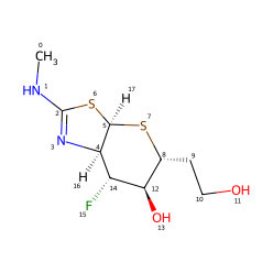 CNC1=N[C@H]2[C@@H](S1)S[C@H](CCO)[C@@H](O)[C@@H]2F